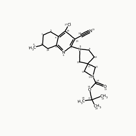 CC1CCc2c(nc(N3CCC4(CN(C(=O)OC(C)(C)C)C4)C3)c(C#N)c2Cl)C1